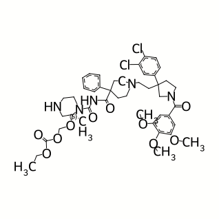 CCOC(=O)OCO[C@@]1(C)CNCCN1C(=O)NC(=O)C1(c2ccccc2)CCN(CCC2(c3ccc(Cl)c(Cl)c3)CCN(C(=O)c3cc(OC)c(OC)c(OC)c3)C2)CC1